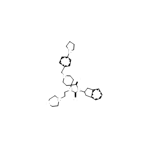 O=C1N(C2Cc3ccccc3C2)C(=O)C2(CCN(Cc3ccc(N4CCCC4)cc3)CC2)N1CCN1CCOCC1